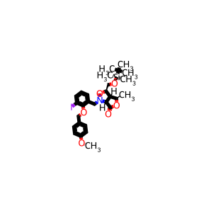 COc1ccc(COc2c(I)cccc2CN2O[C@@H](CO[Si](C)(C)C(C)(C)C)[C@H]3[C@H](C)OC(=O)[C@H]32)cc1